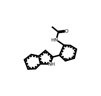 CC(=O)Nc1ccccc1-c1cc2ccccc2[nH]1